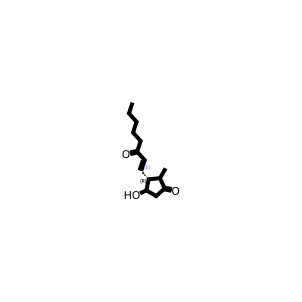 CCCCCC(=O)/C=C/[C@H]1C(O)CC(=O)C1C